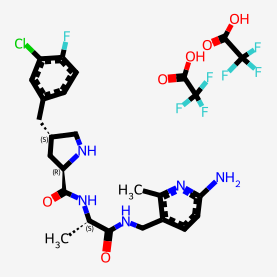 Cc1nc(N)ccc1CNC(=O)[C@H](C)NC(=O)[C@H]1C[C@H](Cc2ccc(F)c(Cl)c2)CN1.O=C(O)C(F)(F)F.O=C(O)C(F)(F)F